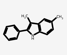 Cc1ccc2[nH]c(-c3ccccc3)c(C)c2c1